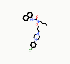 CCCCN(OCCCN1CCN(c2ccc(Cl)cc2)CC1)C(=O)Nc1cccc2ccccc12